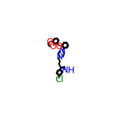 Clc1ccc2c(CCCN3CCN(c4ccccc4Oc4cccc5c4OCCO5)CC3)c[nH]c2c1